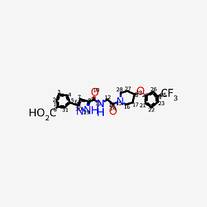 O=C(O)c1cccc(-c2cc(C(=O)NCC(=O)N3CCC(Oc4cccc(C(F)(F)F)c4)CC3)[nH]n2)c1